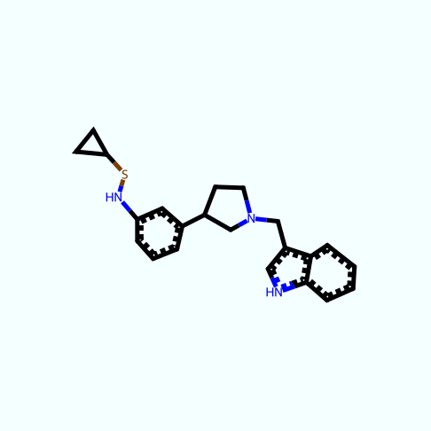 c1cc(NSC2CC2)cc(C2CCN(Cc3c[nH]c4ccccc34)C2)c1